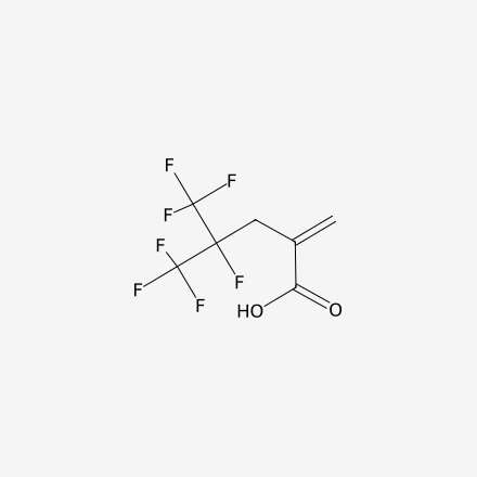 C=C(CC(F)(C(F)(F)F)C(F)(F)F)C(=O)O